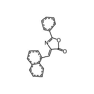 O=C1OC(c2ccccc2)=NC1=Cc1cccc2ccccc12